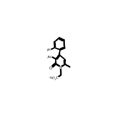 CC(=O)c1c(-c2ccccc2C(C)C)cc(C)n(CC(=O)O)c1=O